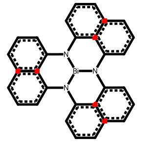 c1ccc([N](c2ccccc2)[Bi]([N](c2ccccc2)c2ccccc2)[N](c2ccccc2)c2ccccc2)cc1